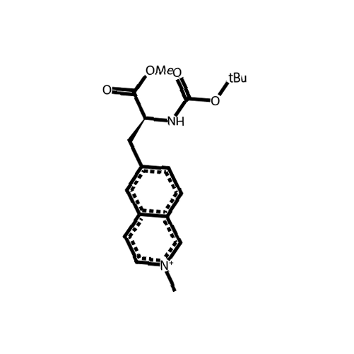 COC(=O)[C@H](Cc1ccc2c[n+](C)ccc2c1)NC(=O)OC(C)(C)C